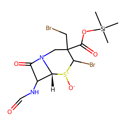 C[Si](C)(C)OC(=O)C1(CBr)CN2C(=O)C(NC=O)[C@H]2[S+]([O-])C1Br